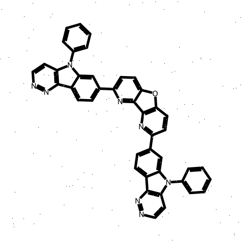 c1ccc(-n2c3cc(-c4ccc5oc6ccc(-c7ccc8c9nnccc9n(-c9ccccc9)c8c7)nc6c5n4)ccc3c3nnccc32)cc1